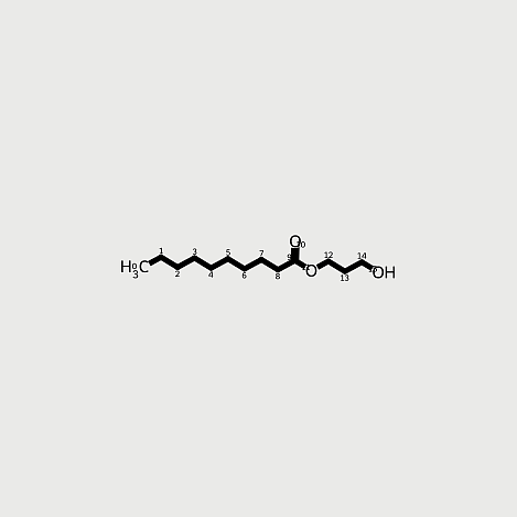 CCCCCCCCCC(=O)OCCCO